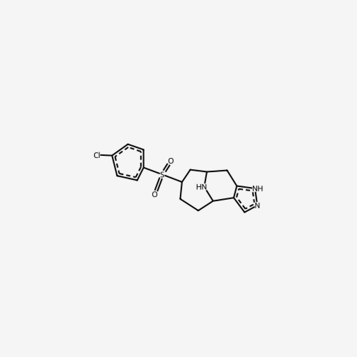 O=S(=O)(c1ccc(Cl)cc1)C1CCC2NC(Cc3[nH]ncc32)C1